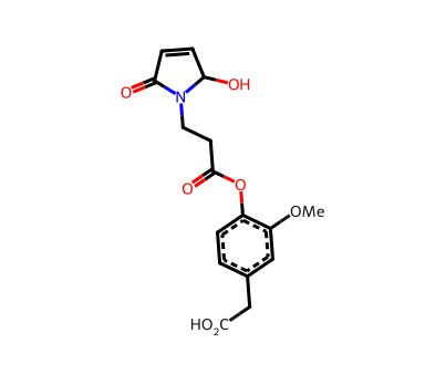 COc1cc(CC(=O)O)ccc1OC(=O)CCN1C(=O)C=CC1O